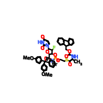 COc1ccc(C(OCC2OC(n3ccc(=O)[nH]c3=O)C(F)C2OP(OCCSC(=O)C(C)NC(=O)OCC2c3ccccc3-c3ccccc32)N(C(C)C)C(C)C)(c2ccccc2)c2ccc(OC)cc2)cc1